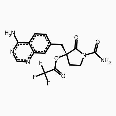 NC(=O)N1CC[C@](Cc2ccc3c(N)ncnc3c2)(OC(=O)C(F)(F)F)C1=O